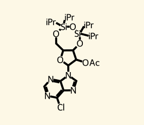 CC(=O)OC1C2O[Si](C(C)C)(C(C)C)O[Si](C(C)C)(C(C)C)OCC2OC1n1cnc2c(Cl)ncnc21